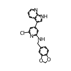 Clc1cc(-c2c[nH]c3ncccc23)cc(NCc2ccc3c(c2)OCO3)n1